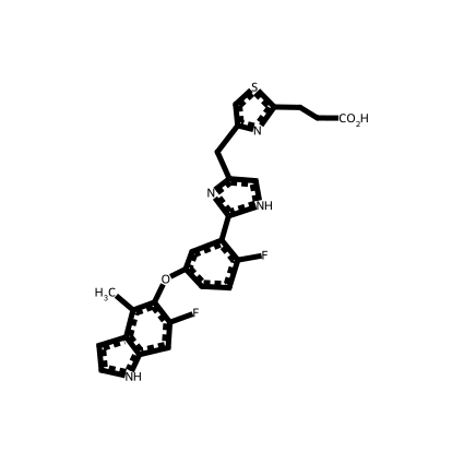 Cc1c(Oc2ccc(F)c(-c3nc(Cc4csc(CCC(=O)O)n4)c[nH]3)c2)c(F)cc2[nH]ccc12